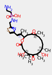 C/C(=C\c1csc(CNP(=O)(O)CCN)n1)C1CC2O[C@]2(C)CCC[C@H](C)[C@H](O)[C@@H](C)C(=O)C(C)(C)[C@@H](O)CC(=O)O1